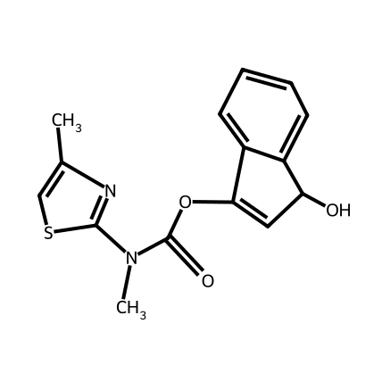 Cc1csc(N(C)C(=O)OC2=CC(O)c3ccccc32)n1